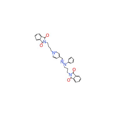 O=C1c2ccccc2C(=O)N1CCCC[n+]1ccc(/C=N/N(CCCN2C(=O)c3ccccc3C2=O)c2ccccc2)cc1